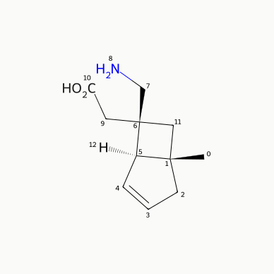 C[C@@]12CC=C[C@H]1[C@](CN)(CC(=O)O)C2